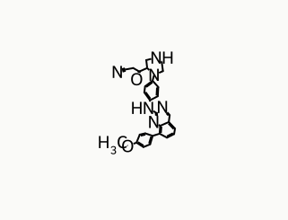 COc1ccc(-c2cccc3cnc(Nc4ccc(N5CCNCC5C(=O)CC#N)cc4)nc23)cc1